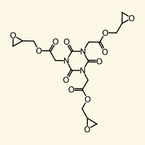 O=C(Cn1c(=O)n(CC(=O)OCC2CO2)c(=O)n(CC(=O)OCC2CO2)c1=O)OCC1CO1